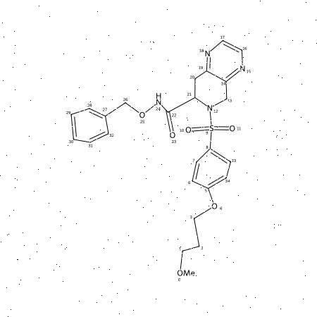 COCCCOc1ccc(S(=O)(=O)N2Cc3nccnc3CC2C(=O)NOCc2ccccc2)cc1